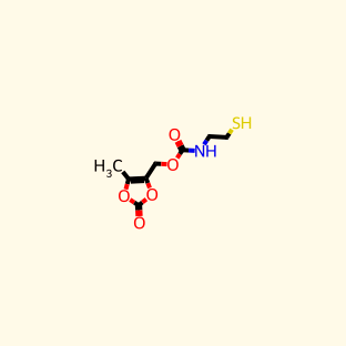 Cc1oc(=O)oc1COC(=O)NCCS